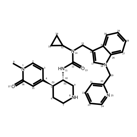 Cn1ccc([C@@H]2CCNC[C@H]2NC(=O)N(Cc2cn(Cc3ccccn3)c3ccccc23)C2CC2)cc1=O